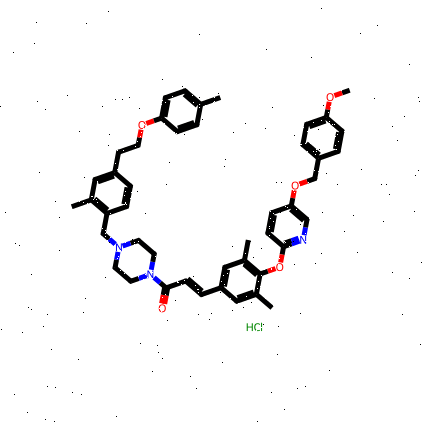 COc1ccc(COc2ccc(Oc3c(C)cc(C=CC(=O)N4CCN(Cc5ccc(CCOc6ccc(C)cc6)cc5C)CC4)cc3C)nc2)cc1.Cl